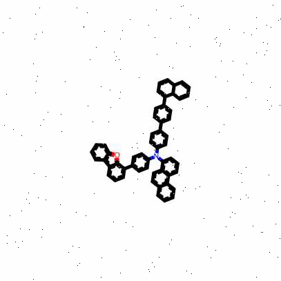 C1=CC2C=CC=C(c3ccc(-c4ccc(N(c5ccc(-c6cccc7c6oc6ccccc67)cc5)c5cccc6c5ccc5ccccc56)cc4)cc3)C2C=C1